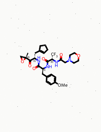 COc1ccc(C[C@H](NC(=O)[C@@H](NC(=O)CN2CCOCC2)C(F)(F)F)C(=O)N[C@@H](CC2=CCCC2)C(=O)[C@@]2(C)CO2)cc1